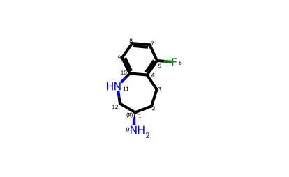 N[C@@H]1CCc2c(F)cccc2NC1